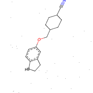 N#CC1CCC(COc2ccc3c(c2)CCB3)CC1